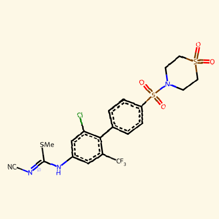 CS/C(=N\C#N)Nc1cc(Cl)c(-c2ccc(S(=O)(=O)N3CCS(=O)(=O)CC3)cc2)c(C(F)(F)F)c1